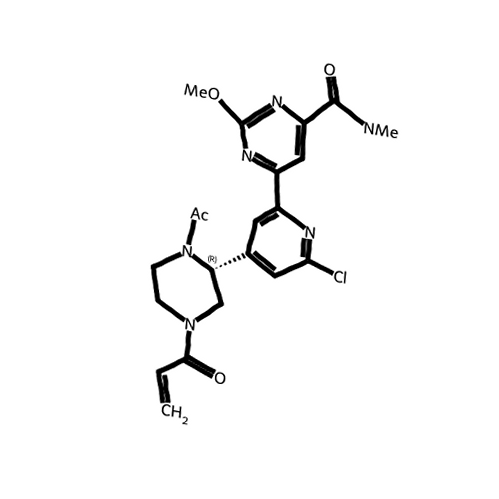 C=CC(=O)N1CCN(C(C)=O)[C@H](c2cc(Cl)nc(-c3cc(C(=O)NC)nc(OC)n3)c2)C1